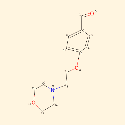 O=[C]c1ccc(OCCN2CCOCC2)cc1